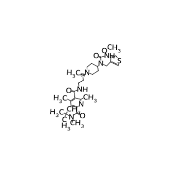 CONC(=O)N(Cc1ccsc1)C1CCN([C@H](C)CCNC(=O)c2c(C)cc(C(=O)N(C)C(C)(C)C)nc2C)CC1